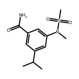 CC(C)c1cc(C(N)=O)cc(N(C)S(C)(=O)=O)c1